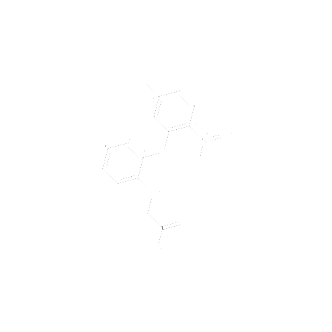 O=C(O)COc1ccccc1Oc1cc(F)ccc1[N+](=O)[O-]